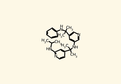 CC(C)Nc1cc(C(C)(C)Nc2cncc(C(C)(C)Nc3ccccc3)c2)ccn1